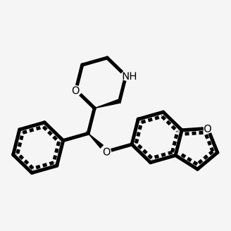 c1ccc([C@H](Oc2ccc3occc3c2)[C@@H]2CNCCO2)cc1